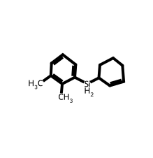 Cc1cccc([SiH2]C2C=CCCC2)c1C